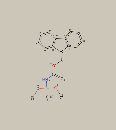 CCOC([C]=O)(NC(=O)OCC1c2ccccc2-c2ccccc21)OCC